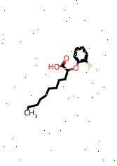 CCCCCCCCCC(Oc1ccccc1F)C(=O)O